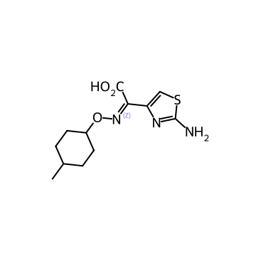 CC1CCC(O/N=C(\C(=O)O)c2csc(N)n2)CC1